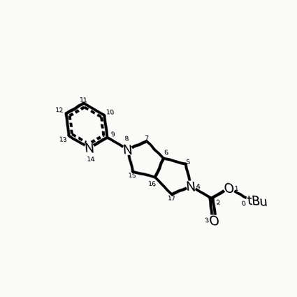 CC(C)(C)OC(=O)N1CC2CN(c3ccccn3)CC2C1